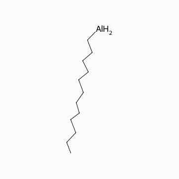 CCCCCCCCCCC[CH2][AlH2]